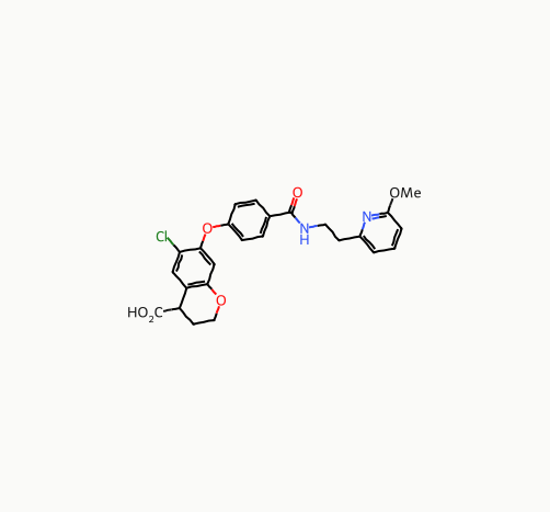 COc1cccc(CCNC(=O)c2ccc(Oc3cc4c(cc3Cl)C(C(=O)O)CCO4)cc2)n1